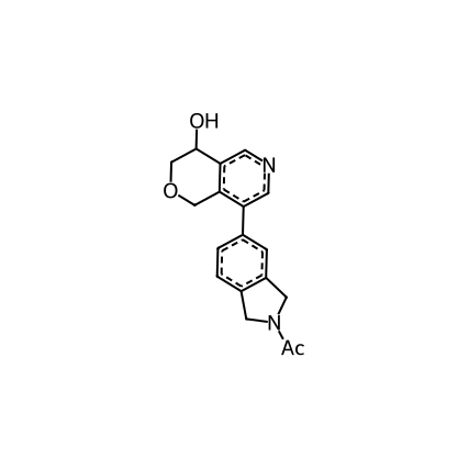 CC(=O)N1Cc2ccc(-c3cncc4c3COCC4O)cc2C1